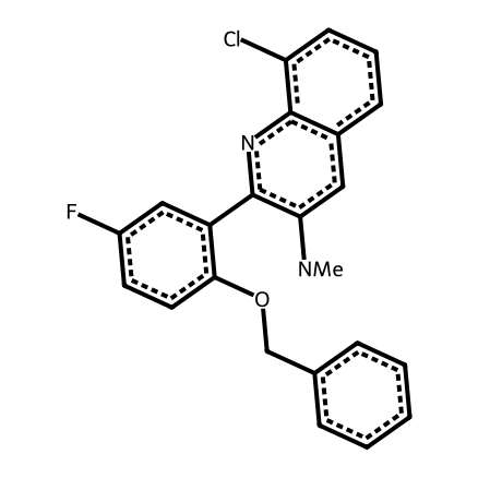 CNc1cc2cccc(Cl)c2nc1-c1cc(F)ccc1OCc1ccccc1